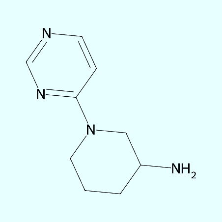 NC1CCCN(c2ccncn2)C1